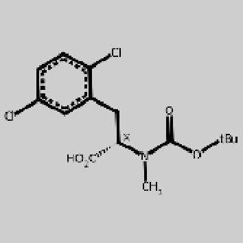 CN(C(=O)OC(C)(C)C)[C@@H](Cc1cc(Cl)ccc1Cl)C(=O)O